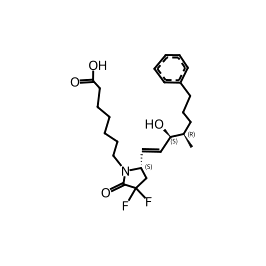 C[C@H](CCCc1ccccc1)[C@H](O)C=C[C@@H]1CC(F)(F)C(=O)N1CCCCCCC(=O)O